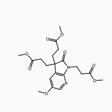 COC(=O)CCN1C(=O)C(CCC(=O)OC)(CCC(=O)OC)c2cc(OC)cnc21